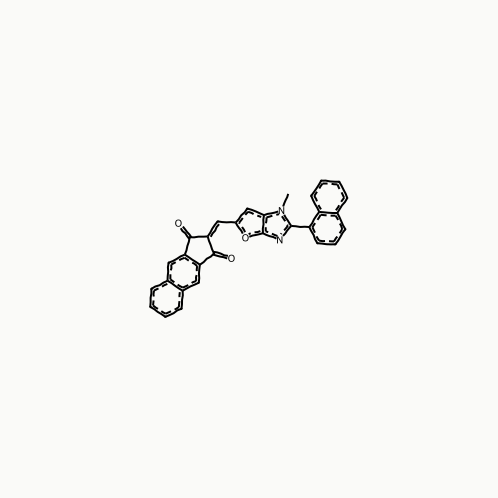 Cn1c(-c2cccc3ccccc23)nc2oc(C=C3C(=O)c4cc5ccccc5cc4C3=O)cc21